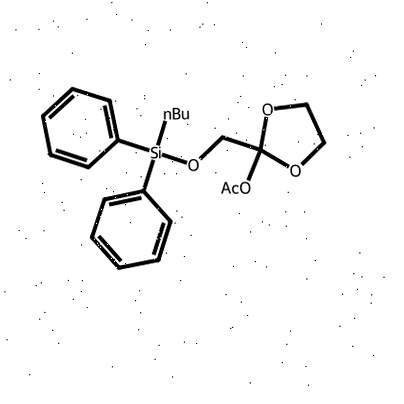 CCCC[Si](OCC1(OC(C)=O)OCCO1)(c1ccccc1)c1ccccc1